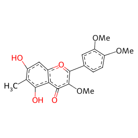 COc1ccc(-c2oc3cc(O)c(C)c(O)c3c(=O)c2OC)cc1OC